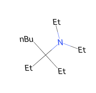 CCCCC(CC)(CC)N(CC)CC